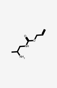 C=CCOC(=O)NCC(C)N